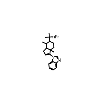 CCCC(C)(C)C1CCC2(C)C(n3cnc4ccccc43)=CCC2C1C